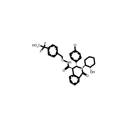 O=C(NOCc1ccc(C(F)(F)C(=O)O)cc1)[C@@H]1c2ccccc2C(=O)N([C@H]2CCCC[C@@H]2O)[C@H]1c1ccc(Cl)cc1